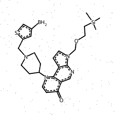 Bc1csc(CN2CCC(n3ccc(=O)c4cnc5c(ccn5COCC[Si](C)(C)C)c43)CC2)c1